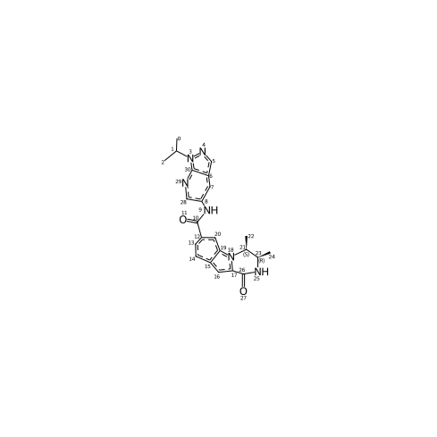 CC(C)n1ncc2cc(NC(=O)c3ccc4cc5n(c4c3)[C@@H](C)[C@@H](C)NC5=O)cnc21